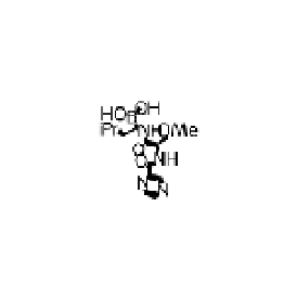 COC[C@@H](NC(=O)c1cnccn1)C(=O)N[C@@H](CC(C)C)B(O)O